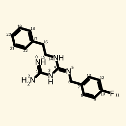 N=C(N)NC(=NCc1ccc(F)cc1)NCCc1ccccc1